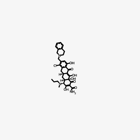 CCCN(C)[C@@H]1C(O)=C(C(N)=O)C(=O)[C@@]2(O)C(O)=C3C(=O)c4c(O)cc(CN5CCc6ccccc6C5)c(Cl)c4C[C@H]3C[C@@H]12